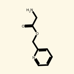 NCC(=O)OCc1ccccn1